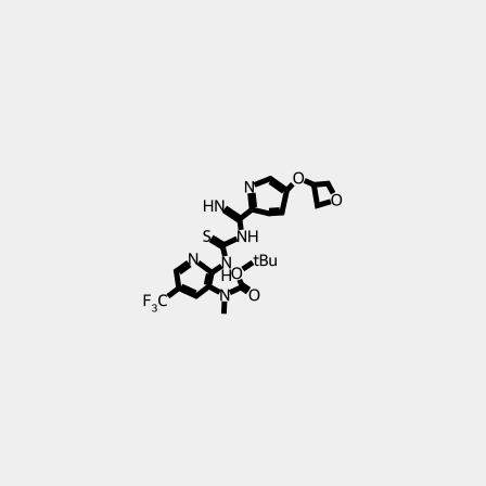 CN(C(=O)OC(C)(C)C)c1cc(C(F)(F)F)cnc1NC(=S)NC(=N)c1ccc(OC2COC2)cn1